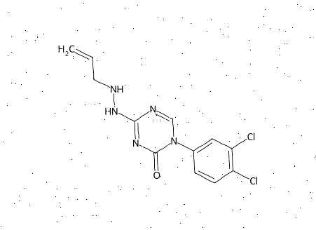 C=CCNNc1ncn(-c2ccc(Cl)c(Cl)c2)c(=O)n1